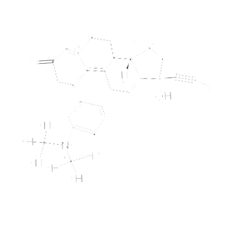 [2H]C([2H])([2H])N(c1ccc([C@H]2C[C@@]3(C)[C@@H](CC[C@@]3(O)C#CC)[C@@H]3CCC4=CC(=O)CCC4=C32)cc1)C([2H])([2H])[2H]